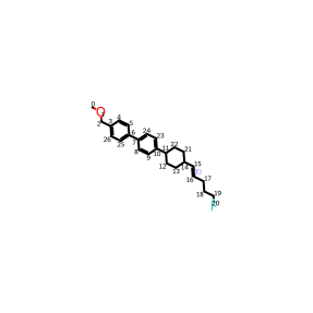 COCc1ccc(-c2ccc(C3CCC(/C=C/CCCF)CC3)cc2)cc1